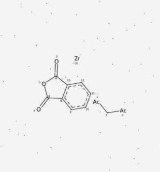 CC(=O)CC(C)=O.O=C1OC(=O)c2ccccc21.[Zr]